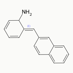 NC1C=CC=C/C1=C\c1ccc2ccccc2c1